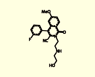 COc1ccc2c(=O)n(CCNCCO)c(C#N)c(-c3cccc(F)c3)c2c1